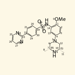 COc1ccc(N2C[C@@H](C)N[C@@H](C)C2)cc1NS(=O)(=O)c1ccc(-c2ncccn2)cc1